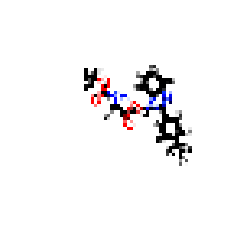 C[C@H](NC(=O)OC(C)(C)C)C(=O)OCn1c(-c2ccc(C(C)(C)C)cc2)nc2ccccc21